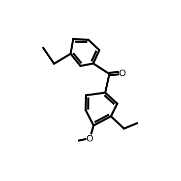 CCc1cccc(C(=O)c2ccc(OC)c(CC)c2)c1